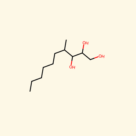 CCCCCCC(C)C(O)C(O)CO